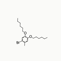 CCCCCCOc1cc(C)c(Br)cc1OCCCCCC